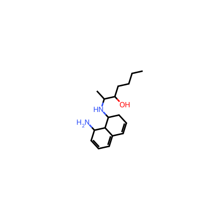 CCCCC(O)C(C)NC1CC=CC2=CC=CC(N)C21